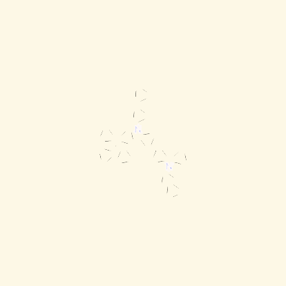 c1ccc(-c2ccc(-n3c4ccc(-c5ccc6c(c5)c5ccccc5n6-c5ccc6ccccc6c5)cc4c4cc5c(cc43)-c3ccccc3C5(c3ccccc3)c3ccccc3)cc2)cc1